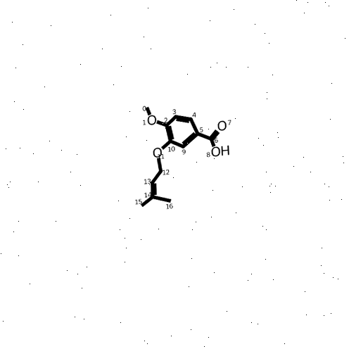 COc1ccc(C(=O)O)cc1OCC=C(C)C